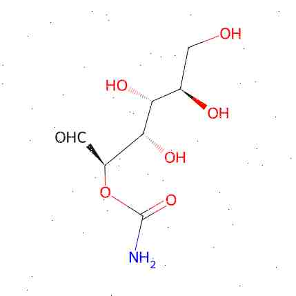 NC(=O)O[C@@H](C=O)[C@@H](O)[C@H](O)[C@H](O)CO